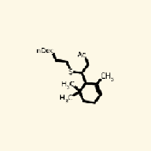 CCCCCCCCCCCCSC(CC(C)=O)C1C(C)=CCCC1(C)C